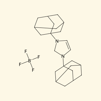 C1=CN(C23CC4CC(CC(C4)C2)C3)CN1C12CC3CC(CC(C3)C1)C2.F[B-](F)(F)F